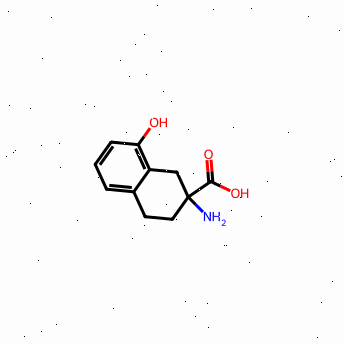 NC1(C(=O)O)CCc2cccc(O)c2C1